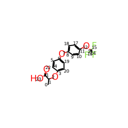 CC(Oc1ccc(Oc2ccc(OC(F)(F)F)cc2)cc1)C(=O)O